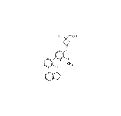 COc1nc(-c2cccc(-c3cccc4c3CCC4)c2Cl)ccc1CN1CC(C)(CO)C1